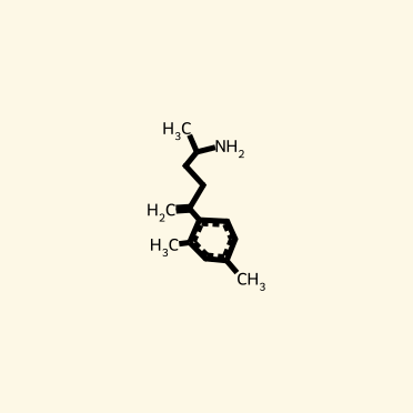 C=C(CCC(C)N)c1ccc(C)cc1C